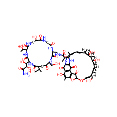 C/C1=C/C=C/[C@H](C)[C@H](O)[C@@H](C)[C@@H](O)[C@@H](C)[C@H](C)C(C)[C@@H](CO)/C=C/O[C@@]2(C)Oc3c(C)c(O)c4c(c3C2=O)C(=O)C(NC(C)C(C)C(=O)NCC2NC(=O)CNC(=O)C(O)CNC(=O)C(C(C)O)NC(=O)C(C(O)C(O)C(N)=O)NC(=O)C(C(C)C)CC(=O)C(CO)NC2=O)=C(NC1=O)C4=O